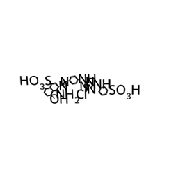 Nc1c(N=Nc2ccc(Nc3nc(Cl)nc(Nc4cccc(S(=O)(=O)O)c4)n3)cc2)cc(S(=O)(=O)O)c2cccc(O)c12